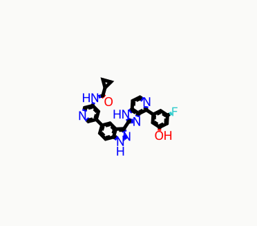 O=C(Nc1cncc(-c2ccc3[nH]nc(-c4nc5c(-c6cc(O)cc(F)c6)nccc5[nH]4)c3c2)c1)C1CC1